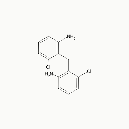 Nc1cccc(Cl)c1Cc1c(N)cccc1Cl